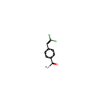 CC(=O)c1ccc(C=C(Br)Br)cc1